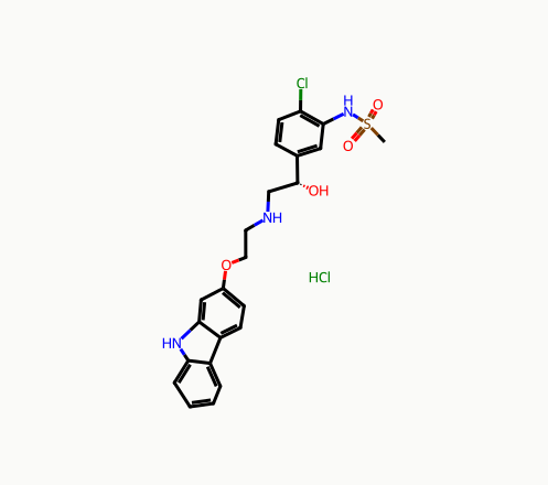 CS(=O)(=O)Nc1cc([C@H](O)CNCCOc2ccc3c(c2)[nH]c2ccccc23)ccc1Cl.Cl